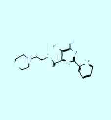 O=C(NCCN1CCOCC1)c1nc(-c2ccccn2)nc(O)c1O